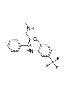 CNCC[C@@H](Nc1cc(C(F)(F)F)ccc1Cl)c1ccccc1